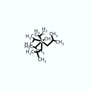 CC(C)CS(C)(CC(C)C)(C(C)C)(C(C)C)C(C)C